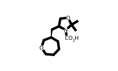 CC1(C)OCC(C[C@H]2CCCCOC2)N1C(=O)O